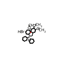 Br.COc1cc(C[PH](c2ccccc2)(c2ccccc2)c2ccccc2)cc(OC)c1OC